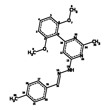 COc1cccc(OC)c1-c1cc(N/N=C/c2ccc(C)cc2)nc(C)n1